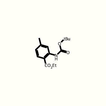 CCOC(=O)c1ccc(C)cc1NC(=O)OC(C)(C)C